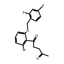 CC(=O)CCC(=O)c1c(Br)cccc1OCc1ccc(F)cc1F